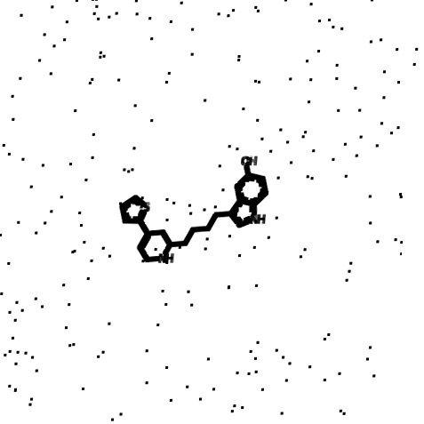 Oc1ccc2[nH]cc(CCCCC3CC(c4cccs4)=CCN3)c2c1